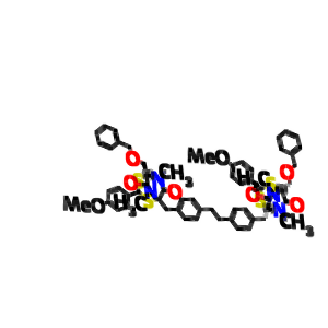 COc1ccc(C2SC3(Cc4ccc(CCc5ccc(C[C@@]67SC(c8ccc(OC)cc8)S[C@@](COCc8ccccc8)(C(=O)N6C)N(C)C7=O)cc5)cc4)C(=O)N(C)[C@@](COCc4ccccc4)(S2)C(=O)N3C)cc1